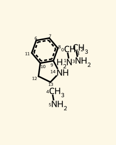 CN.CN.CN.c1ccc2c(c1)CCN2